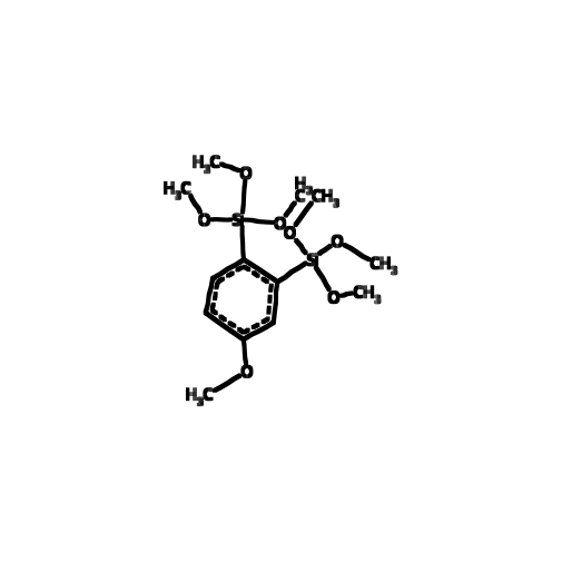 COc1ccc([Si](OC)(OC)OC)c([Si](OC)(OC)OC)c1